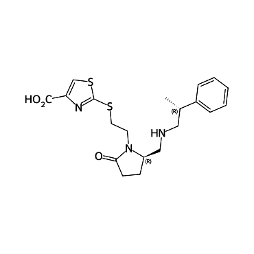 C[C@@H](CNC[C@H]1CCC(=O)N1CCSc1nc(C(=O)O)cs1)c1ccccc1